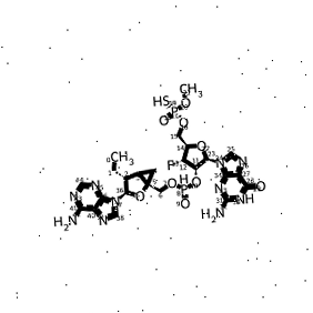 CC[C@@H]1C2C[C@]2(CO[PH](=O)O[C@@H]2[C@H](F)[C@@H](CO[P@@](=O)(S)OC)O[C@H]2n2cnc3c(=O)[nH]c(N)nc32)O[C@H]1n1cnc2c(N)ncnc21